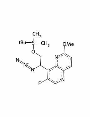 COc1ccc2ncc(F)c(C(CO[Si](C)(C)C(C)(C)C)N=[N+]=[N-])c2n1